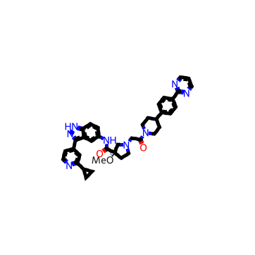 CO[C@@]1(C(=O)Nc2ccc3[nH]nc(-c4ccnc(C5CC5)c4)c3c2)CCN(CC(=O)N2CCC(c3ccc(-c4ncccn4)cc3)CC2)C1